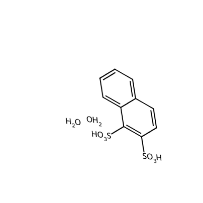 O.O.O=S(=O)(O)c1ccc2ccccc2c1S(=O)(=O)O